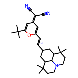 CC(C)(C)C1=CC(=C(C#N)C#N)C=C(/C=C/C2CC3C4C(C2)C(C)(C)CCN4CCC3(C)C)O1